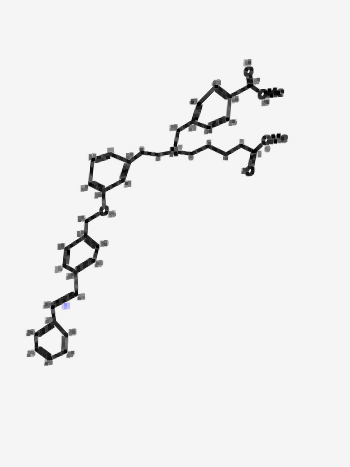 COC(=O)CCCCN(CCc1cccc(OCc2ccc(/C=C/c3ccccc3)cc2)c1)Cc1ccc(C(=O)OC)cc1